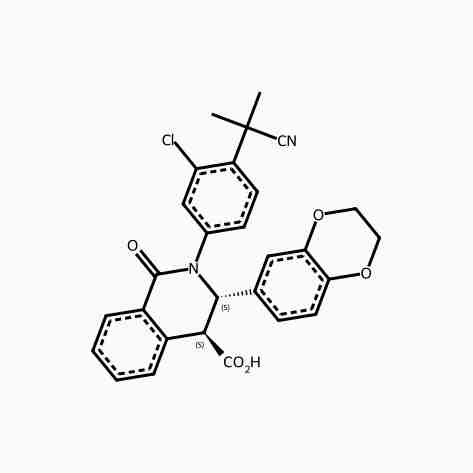 CC(C)(C#N)c1ccc(N2C(=O)c3ccccc3[C@H](C(=O)O)[C@H]2c2ccc3c(c2)OCCO3)cc1Cl